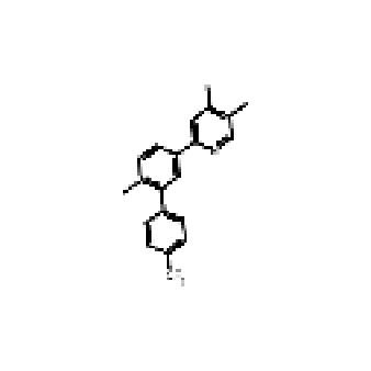 Cc1cnc(-c2ccc(C)c(-c3ccc(C(F)(F)F)cc3)c2)cc1C